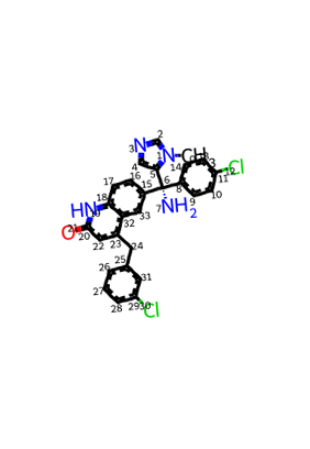 Cn1cncc1[C@@](N)(c1ccc(Cl)cc1)c1ccc2[nH]c(=O)cc(Cc3cccc(Cl)c3)c2c1